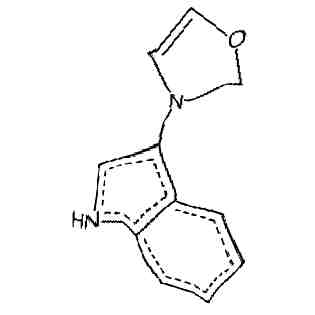 C1=CN(c2c[nH]c3ccccc23)CO1